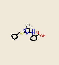 Cc1cc(Nc2ccccc2C(=O)O)nc(SCc2ccccc2)n1